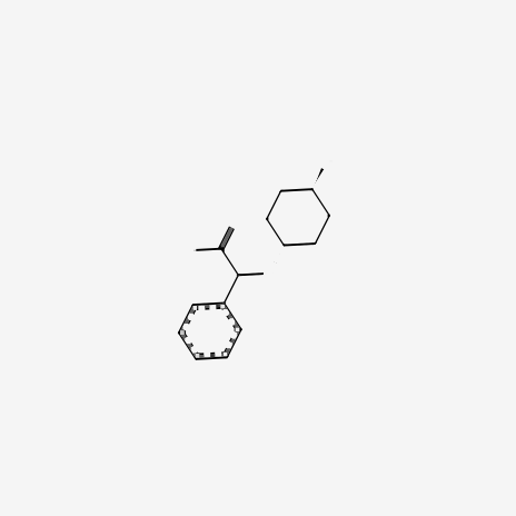 O=C(O)C(O[C@H]1CC[C@H](O)CC1)c1ccccc1